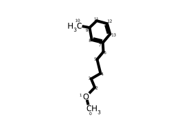 COCCCCCC1=CC(C)CC=C1